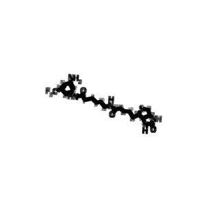 Nc1cc(NC(=O)CCCCCNC(=O)CCCCC2SCC3NC(=O)NC32)cc(C(F)(F)F)c1